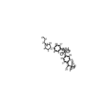 CCCN1CC[C@@H](c2ccc(NS(=O)(=O)c3ccc(C(C)C(F)(F)F)cc3)cc2)C1